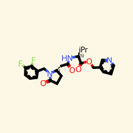 CC(C)[C@H](NC(=O)C[C@@H]1CCC(=O)N1Cc1cccc(F)c1F)C(=O)OCc1cccnc1